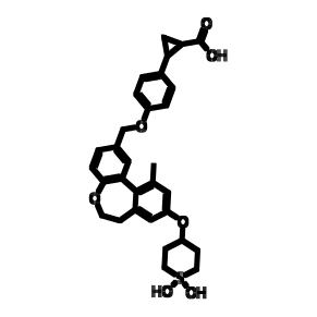 Cc1cc(OC2CCS(O)(O)CC2)cc2c1-c1cc(COc3ccc(C4CC4C(=O)O)cc3)ccc1OCC2